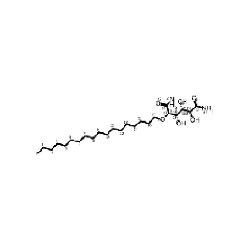 CCCCCCCCCCCCCCCCCCO[C@@H](C(N)=O)[C@@H](O)[C@H](O)[C@H](O)C(N)=O